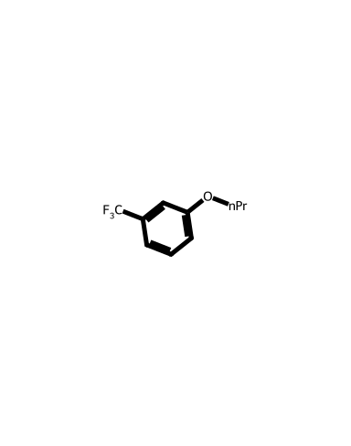 CCCOc1cccc(C(F)(F)F)c1